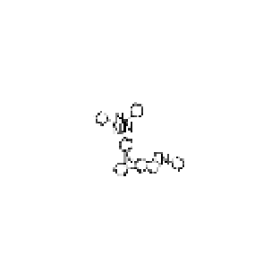 c1ccc(-c2nc(-c3ccccc3)nc(-c3ccc(-n4c5ccccc5c5cc6ccc7c(ccn7-c7ccccc7)c6cc54)cc3)n2)cc1